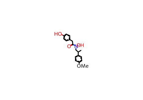 COc1ccc(C(C)CN(O)C(=O)Cc2ccc(O)cc2)cc1